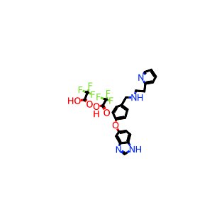 O=C(O)C(F)(F)F.O=C(O)C(F)(F)F.c1ccc(CCNCc2ccc(Oc3ccc4[nH]cnc4c3)cc2)nc1